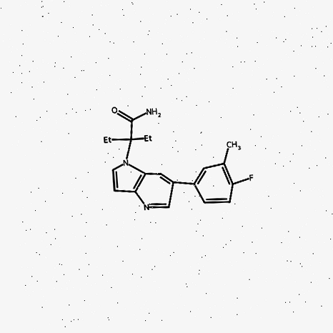 CCC(CC)(C(N)=O)n1ccc2ncc(-c3ccc(F)c(C)c3)cc21